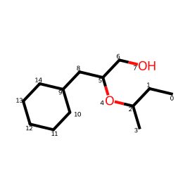 CCC(C)OC(CO)CC1CCCCC1